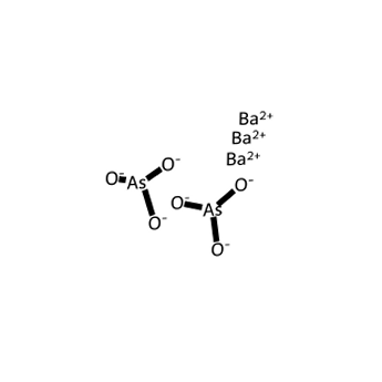 [Ba+2].[Ba+2].[Ba+2].[O-][As]([O-])[O-].[O-][As]([O-])[O-]